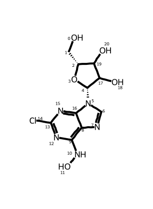 OC[C@H]1O[C@@H](n2cnc3c(NO)nc(Cl)nc32)C(O)C1O